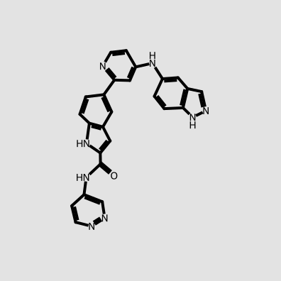 O=C(Nc1ccnnc1)c1cc2cc(-c3cc(Nc4ccc5[nH]ncc5c4)ccn3)ccc2[nH]1